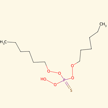 CCCCCCOOP(=S)(OO)OOCCCCCC